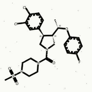 C[C@H](Oc1ccc(F)cc1)[C@@H]1CN(C(=O)N2CCN(S(C)(=O)=O)CC2)C[C@H]1c1ccc(Cl)c(Cl)c1